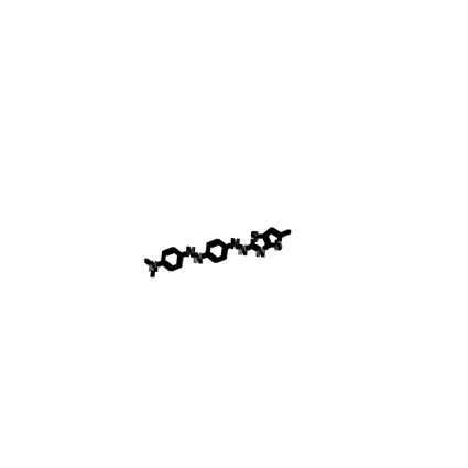 Cc1cc2sc(N=Nc3ccc(N=Nc4ccc(N(C)C)cc4)cc3)nc2s1